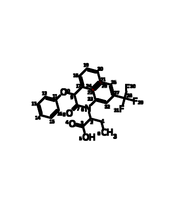 CCC(C(=O)O)N(C(=O)C(Oc1ccccc1)c1ccccc1)c1cccc(C(F)(F)F)c1